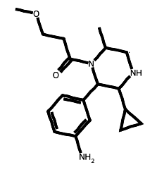 COCCC(=O)N1C(C)[CH]NC(C2CC2)C1c1cccc(N)c1